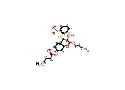 CCCOC(=O)C(O)C(Sc1ccccc1[N+](=O)[O-])c1ccc(OC(=O)CCC)cc1